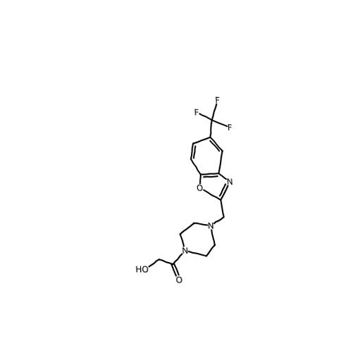 O=C(CO)N1CCN(Cc2nc3cc(C(F)(F)F)ccc3o2)CC1